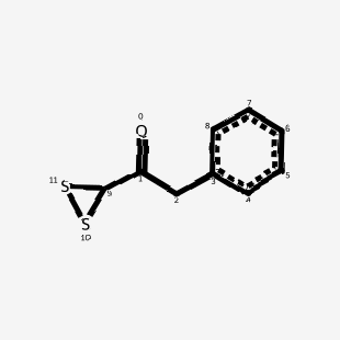 O=C(Cc1ccccc1)C1SS1